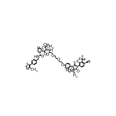 Cc1nc(OCCOCCOCC(=O)N[C@H](C(=O)N2CCC[C@H]2C(=O)NCc2ccc(-c3scnc3C)cc2)C(C)(C)C)ccc1N1C(=S)N(c2ccc(C#N)c(C(F)(F)F)c2F)C(=O)C1(C)C